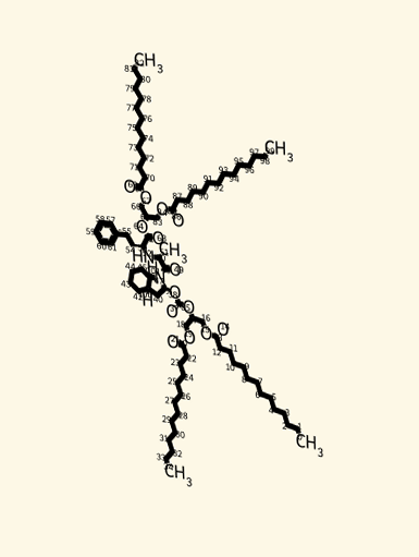 CCCCCCCCCCCCCC(=O)OCC(COC(=O)CCCCCCCCCCCCC)OC(=O)O[C@H]1C[C@H]2CCCC[C@@H]2N1C(=O)[C@H](C)N[C@@H](CCc1ccccc1)C(=O)OC(COC(=O)CCCCCCCCCCCCC)COC(=O)CCCCCCCCCCCCC